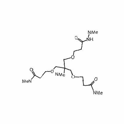 CNNC(=O)CCOCC(COCCC(=O)NC)(COCCC(=O)NC)NC